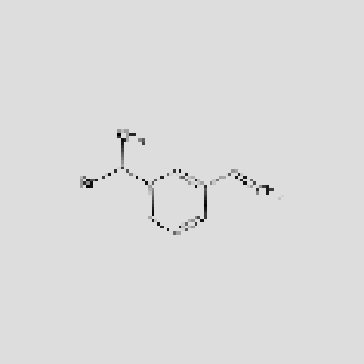 C=Cc1cccc(C(C)Br)c1